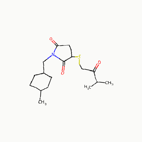 CC1CCC(CN2C(=O)CC(SCC(=O)C(C)C)C2=O)CC1